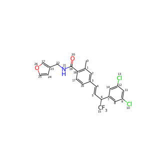 Cc1cc(/C=C/C(c2cc(Cl)cc(Cl)c2)C(F)(F)F)ccc1C(=O)NCc1ccoc1